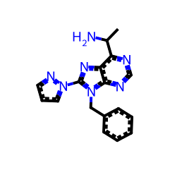 CC(N)c1ncnc2c1nc(-n1cccn1)n2Cc1ccccc1